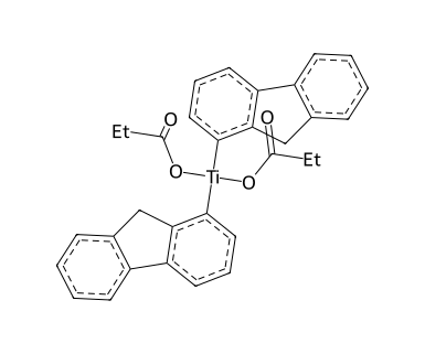 CCC(=O)[O][Ti]([O]C(=O)CC)([c]1cccc2c1Cc1ccccc1-2)[c]1cccc2c1Cc1ccccc1-2